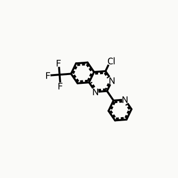 FC(F)(F)c1ccc2c(Cl)nc(-c3ccccn3)nc2c1